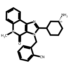 Cn1c(=O)c2c(nc(C3CCC[C@@H](N)C3)n2Cc2ccccc2C#N)c2ccccc21